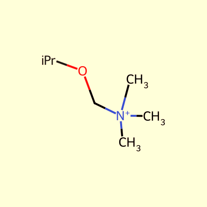 CC(C)OC[N+](C)(C)C